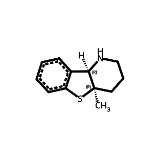 C[C@@]12CCCN[C@@H]1c1ccccc1S2